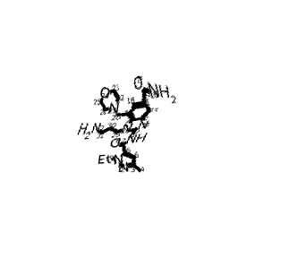 CCn1nc(C)cc1C(=O)Nc1nc2cc(C(N)=O)cc(CN3CCOCC3)c2n1CCCN